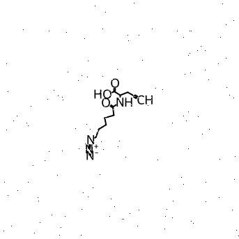 C#CCC(NC(=O)CCCCCN=[N+]=[N-])C(=O)O